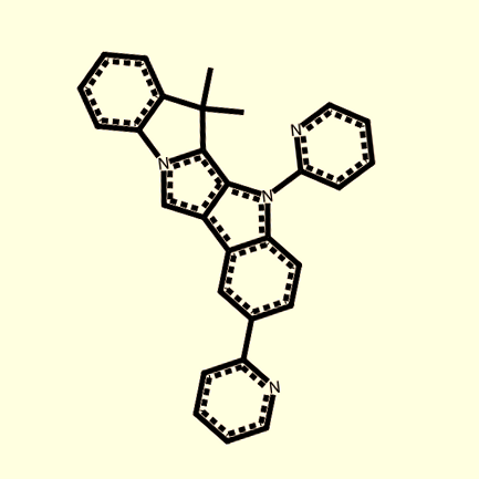 CC1(C)c2ccccc2-n2cc3c4cc(-c5ccccn5)ccc4n(-c4ccccn4)c3c21